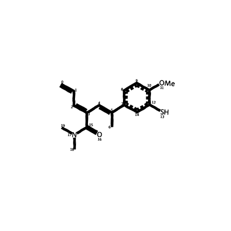 C=C/C=C(\C=C(/C)c1ccc(OC)c(S)c1)C(=O)N(C)C